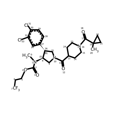 CN(C(=O)OCCC(F)(F)F)[C@@H]1CN(C(=O)C2CCN(C(=O)C3(C)CC3)CC2)C[C@H]1c1ccc(Cl)c(Cl)c1